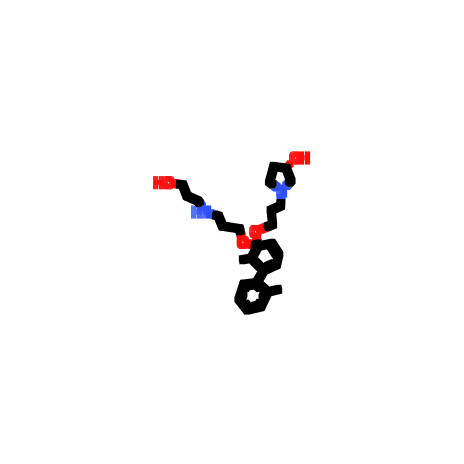 Cc1ccccc1C1=CC=CC(OCCCNCCCO)(OCCCN2CC[C@@H](O)C2)C1C